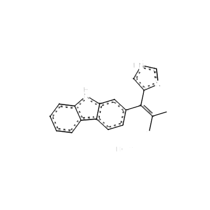 CC(C)=C(c1ccc2c(c1)[nH]c1ccccc12)c1c[nH]cn1.Cl